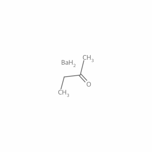 CCC(C)=O.[BaH2]